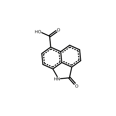 O=C(O)c1ccc2c3c(cccc13)C(=O)N2